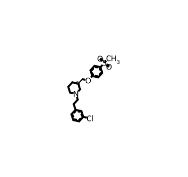 CS(=O)(=O)c1ccc(OC[C@@H]2CCCN(CCc3cccc(Cl)c3)C2)cc1